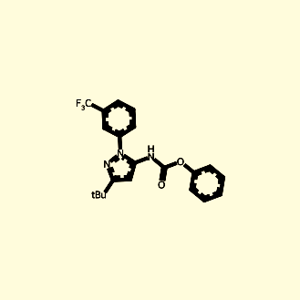 CC(C)(C)c1cc(NC(=O)Oc2ccccc2)n(-c2cccc(C(F)(F)F)c2)n1